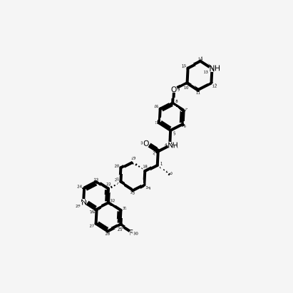 C[C@@H](C(=O)Nc1ccc(OC2CCNCC2)cc1)[C@H]1CC[C@@H](c2ccnc3ccc(F)cc32)CC1